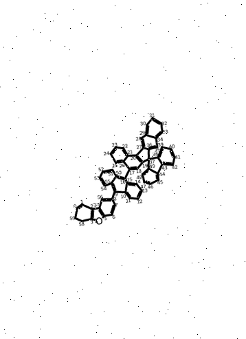 C1=Cc2c(oc3ccc(-c4c5ccccc5c(-c5cc6c(c7ccccc57)-c5cc7ccccc7cc5C65c6ccccc6-c6ccccc65)c5ccccc45)cc23)CC1